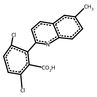 Cc1ccc2nc(-c3c(Cl)ccc(Cl)c3C(=O)O)ccc2c1